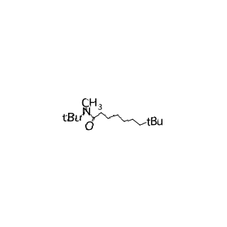 CN(C(=O)CCCCCCC(C)(C)C)C(C)(C)C